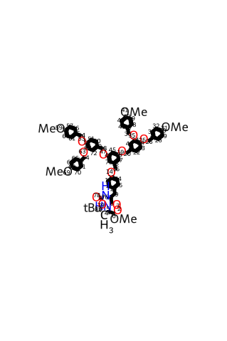 COC(=O)C(C)NC(=O)C(Cc1ccc(OCc2cc(OCc3ccc(OCc4ccc(OC)cc4)c(OCc4ccc(OC)cc4)c3)cc(OCc3ccc(OCc4ccc(OC)cc4)c(OCc4ccc(OC)cc4)c3)c2)cc1)NC(=O)OC(C)(C)C